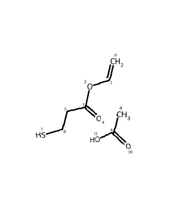 C=COC(=O)CCS.CC(=O)O